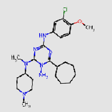 COc1ccc(NC2=NC(N(C)C3CCN(C)CC3)N(N)C(C3CCCCCC3)=N2)cc1Cl